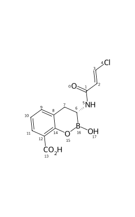 O=C(C=CCl)N[C@H]1Cc2cccc(C(=O)O)c2OB1O